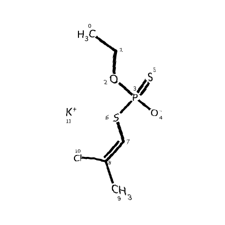 CCOP([O-])(=S)SC=C(C)Cl.[K+]